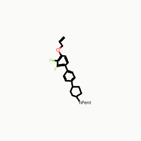 C=CCOc1ccc(-c2ccc(C3CCC(CCCCC)CC3)cc2)c(F)c1F